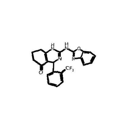 O=C1CCCC2=C1C(c1ccccc1C(F)(F)F)N=C(Nc1nc3ccccc3o1)N2